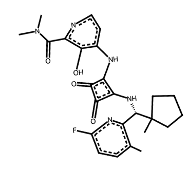 Cc1ccc(F)nc1[C@H](Nc1c(Nc2ccnc(C(=O)N(C)C)c2O)c(=O)c1=O)C1(C)CCCC1